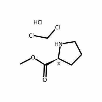 COC(=O)[C@@H]1CCCN1.Cl.ClCCl